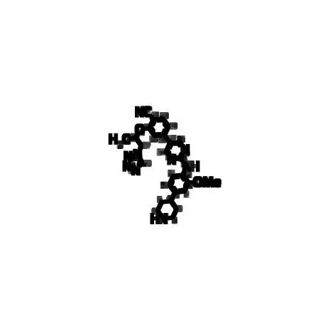 COc1cc(C2CCNCC2)ccc1Nc1ncc(-c2ccc(C#N)c(OC(C)Cn3cnnn3)c2)cn1